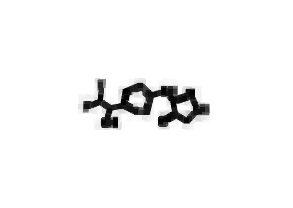 O=C1CNN=C1Nc1ccc(C(O)C(F)F)cc1